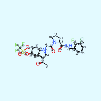 CC(=O)c1cn(CC(=O)N2CCC[C@H]2C(=O)NCc2cccc(Cl)c2F)c2ccc(OS(=O)(=O)C(F)(F)F)cc12